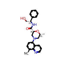 C[C@@H]1CN(c2ccc(C#N)c3ncccc23)C[C@H](C(=O)N[C@H](CO)c2ccccc2)O1